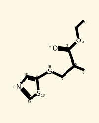 CCOC(=O)C(C)CSc1cn[c]s1